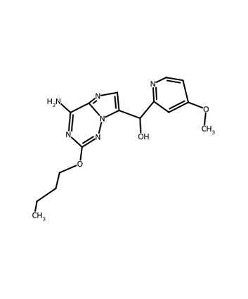 CCCCOc1nc(N)c2ncc(C(O)c3cc(OC)ccn3)n2n1